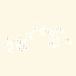 CC(C)(C)OC(=O)N1CC(C(=O)C23CC(c4nnc(C5(C(F)(F)F)CC5)[nH]4)(C2)C3)C1